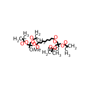 C=C(C)C(=O)OCC(COC)(COC(=O)CCCCCCCC(=O)OCC(COC)(COC(=O)C(=C)C)COC(=O)C(=C)C)COC(=O)C(=C)C